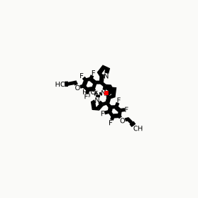 C#CCOc1c(F)c(F)c(/C(=C2\C=CC=N2)c2cccn2N(C)n2cccc2/C(=C2/C=CC=N2)c2c(F)c(F)c(OCC#C)c(F)c2F)c(F)c1F